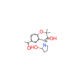 CC(=O)c1ccc2c(c1)[C@@H](N1CCCC1O)[C@H](O)C(C)(C)O2